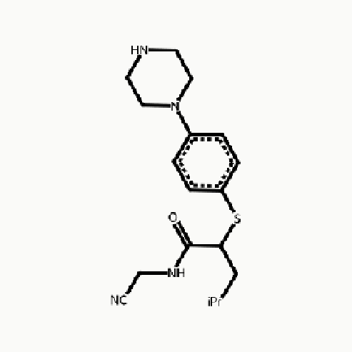 CC(C)CC(Sc1ccc(N2CCNCC2)cc1)C(=O)NCC#N